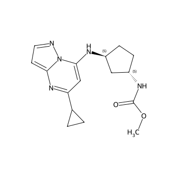 COC(=O)N[C@H]1CC[C@H](Nc2cc(C3CC3)nc3ccnn23)C1